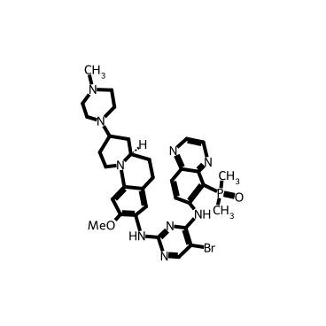 COc1cc2c(cc1Nc1ncc(Br)c(Nc3ccc4nccnc4c3P(C)(C)=O)n1)CC[C@@H]1CC(N3CCN(C)CC3)CCN21